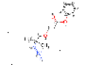 CC(C)(COCCC(=O)Oc1ccccc1)N=[N+]=[N-]